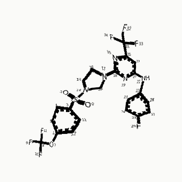 O=S(=O)(c1ccc(OC(F)(F)F)cc1)N1CCN(c2nc(Nc3ccc(F)cc3)cc(C(F)(F)F)n2)C1